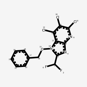 FC(F)c1nc2nc(Cl)c(Cl)c(Cl)c2n1OCc1ccccc1